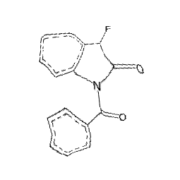 O=C(c1ccccc1)N1C(=O)C(F)c2ccccc21